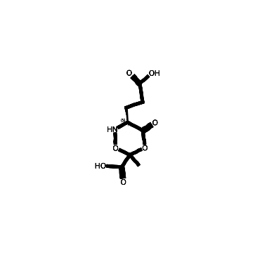 CC1(C(=O)O)ON[C@@H](CCC(=O)O)C(=O)O1